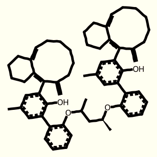 C=C1CCCCC/C=C2/CCCC/C2=C/1c1cc(C)cc(-c2ccccc2OC(C)C[C@H](C)Oc2ccccc2-c2cc(C)cc(/C3=C4\CCCC\C4=C\CCCCCC3=C)c2O)c1O